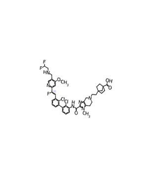 COc1cc(/C(F)=C/c2cccc(-c3cccc(NC(=O)c4nc5c(n4C)CCN(CCC46CCC(C(=O)O)(CC4)C6)C5)c3Cl)c2Cl)ncc1CNCC(F)F